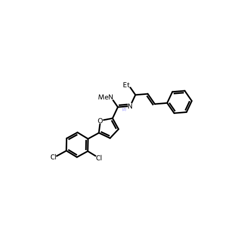 CCC(C=Cc1ccccc1)/N=C(\NC)c1ccc(-c2ccc(Cl)cc2Cl)o1